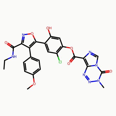 CCNC(=O)c1noc(-c2cc(Cl)c(OC(=O)c3ncn4c(=O)n(C)nnc34)cc2O)c1-c1ccc(OC)cc1